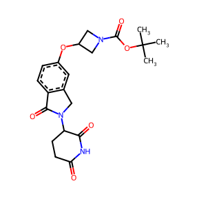 CC(C)(C)OC(=O)N1CC(Oc2ccc3c(c2)CN(C2CCC(=O)NC2=O)C3=O)C1